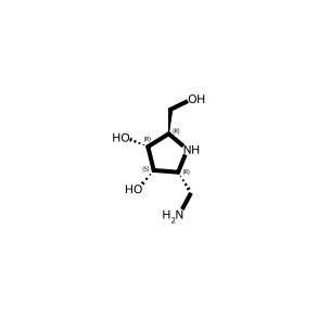 NC[C@H]1N[C@H](CO)[C@@H](O)[C@H]1O